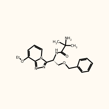 CCOc1cccn2c([C@@H](COCc3ccccc3)NC(=O)C(C)(C)N)nnc12